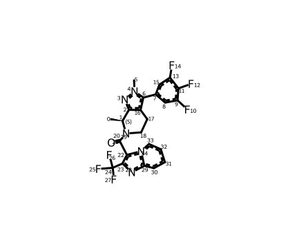 C[C@H]1c2nn(C)c(-c3cc(F)c(F)c(F)c3)c2CCN1C(=O)c1c(C(F)(F)F)nc2ccccn12